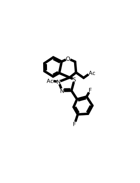 CC(=O)CC1COc2ccccc2C12SC(c1cc(F)ccc1F)=NN2C(C)=O